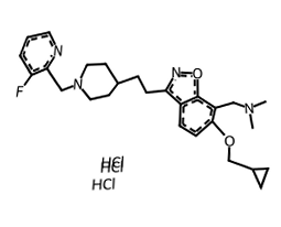 CN(C)Cc1c(OCC2CC2)ccc2c(CCC3CCN(Cc4ncccc4F)CC3)noc12.Cl.Cl.Cl